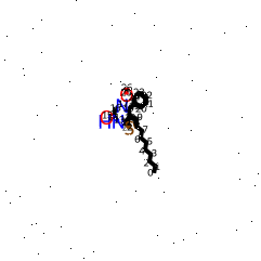 CCCCCCCCc1cc2c(s1)NC(=O)CN=C2c1ccccc1OC